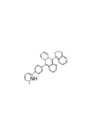 CC1C=CC=C(c2ccc(C3=c4ccccc4=C(C4=c5ccccc5=CCC4)C4C=CC=CC34)cc2)N1